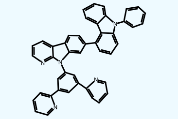 c1ccc(-n2c3ccccc3c3c(-c4ccc5c6cccnc6n(-c6cc(-c7ccccn7)cc(-c7ccccn7)c6)c5c4)cccc32)cc1